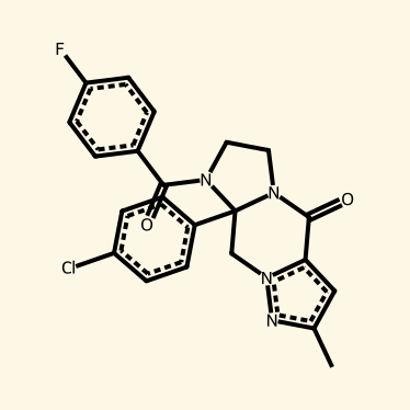 Cc1cc2n(n1)CC1(c3ccc(Cl)cc3)N(C(=O)c3ccc(F)cc3)CCN1C2=O